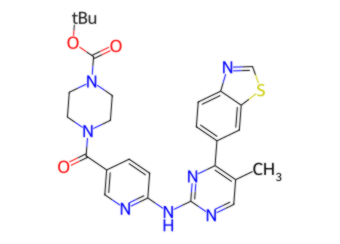 Cc1cnc(Nc2ccc(C(=O)N3CCN(C(=O)OC(C)(C)C)CC3)cn2)nc1-c1ccc2ncsc2c1